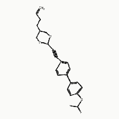 C=CCCC1COC(C#Cc2ccc(-c3ccc(OC(F)F)cc3)cc2)OC1